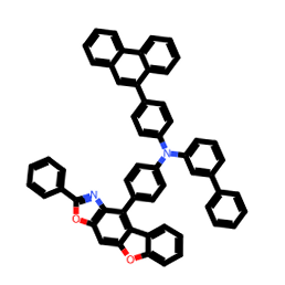 c1ccc(-c2cccc(N(c3ccc(-c4cc5ccccc5c5ccccc45)cc3)c3ccc(-c4c5nc(-c6ccccc6)oc5cc5oc6ccccc6c45)cc3)c2)cc1